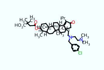 CC(C)C1=C2[C@H]3CC[C@@H]4[C@@]5(C)CC[C@H](OC(=O)CC(C)(C)C(=O)O)[C@H](C)[C@@H]5CC[C@@]4(C)[C@]3(C)CC[C@@]2(CCN(CCN(C)C)Cc2ccc(Cl)cc2)CC1=O